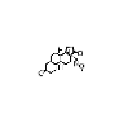 CON=C[C@]12CC[C@H]3[C@@H](CCC4CC(=O)CC[C@@]43C)[C@@H]1CCC2=O